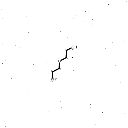 CCCCCO[CH]CO